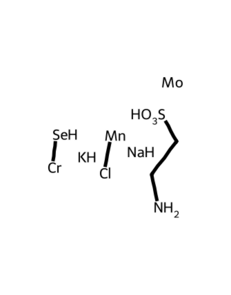 NCCS(=O)(=O)O.[Cl][Mn].[Cr][SeH].[KH].[Mo].[NaH]